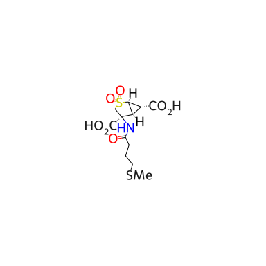 CSCCCC(=O)N[C@@]1(C(=O)O)CS(=O)(=O)[C@H]2[C@H](C(=O)O)[C@H]21